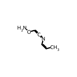 C/C=C\N=C=CON